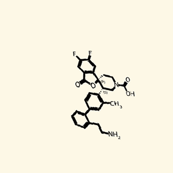 Cc1cc(-c2ccccc2CCN)ccc1[C@H]1CN(C(=O)O)CC[C@@]12OC(=O)c1cc(F)c(F)cc12